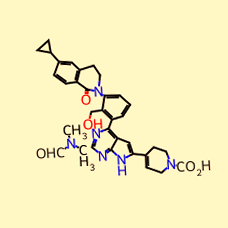 CN(C)C=O.O=C(O)N1CC=C(c2cc3c(-c4cccc(N5CCc6cc(C7CC7)ccc6C5=O)c4CO)ncnc3[nH]2)CC1